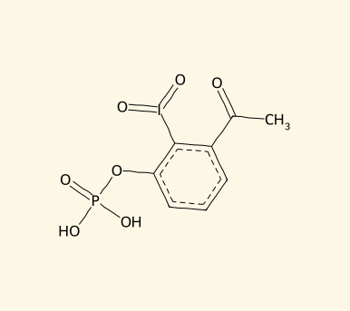 CC(=O)c1cccc(OP(=O)(O)O)c1I(=O)=O